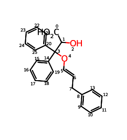 O=C(O)C(O)C(OC=CCc1ccccc1)(c1ccccc1)c1ccccc1